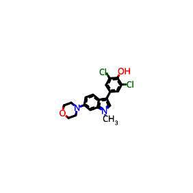 Cn1cc(-c2cc(Cl)c(O)c(Cl)c2)c2ccc(N3CCOCC3)cc21